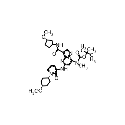 CO[C@@H]1CCC(NC(=O)c2cnn3c(N(C)C(=O)OC(C)(C)C)cc(Nc4cccn([C@H]5CC[C@H](OC)CC5)c4=O)nc23)C1